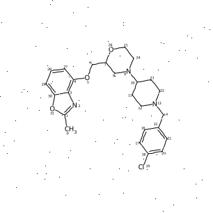 Cc1nc2c(OCC3CN(C4CCN(Cc5ccc(Cl)cc5)CC4)CCO3)cccc2o1